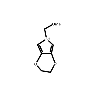 COC[SH]1C=C2OCCOC2=C1